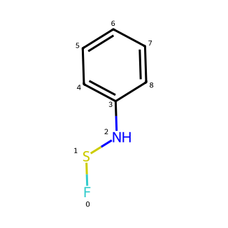 FSNc1ccccc1